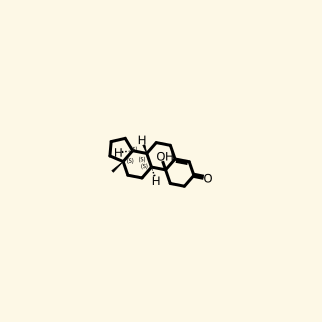 C[C@@]12CCC[C@H]1[C@@H]1CCC3=CC(=O)CCC3(O)[C@H]1CC2